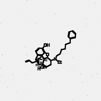 C=CCN1CC[C@]23c4c5ccc(O)c4OC2C(N(CC)CCCCCCc2ccccc2)CC[C@@]3(O)[C@H]1C5